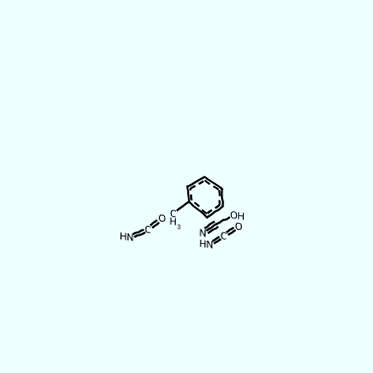 Cc1ccccc1.N#CO.N=C=O.N=C=O